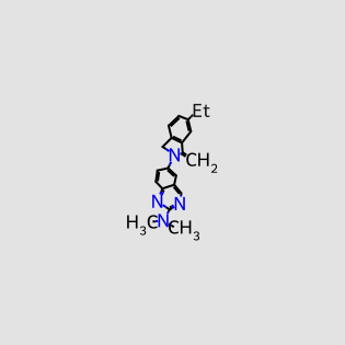 C=C1c2cc(CC)ccc2CN1c1ccc2nc(N(C)C)ncc2c1